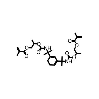 C=C(C)C(=O)OCC(C)OC(=O)NC(C)(C)C1=CCCC(C(C)(C)NC(=O)OC(C)COC(=O)C(=C)C)=C1